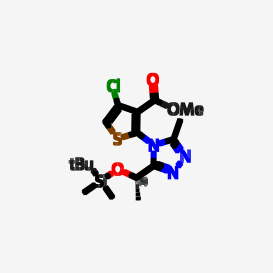 COC(=O)c1c(Cl)csc1-n1c(C)nnc1[C@H](C)O[Si](C)(C)C(C)(C)C